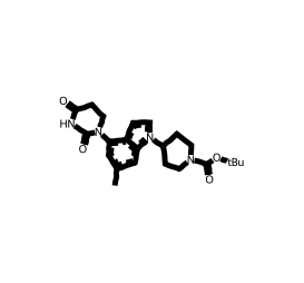 Cc1cc(N2CCC(=O)NC2=O)c2ccn(C3CCN(C(=O)OC(C)(C)C)CC3)c2c1